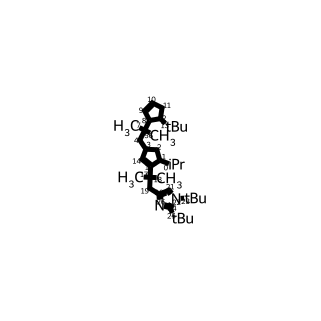 CC(C)C1CC(CC(C)(C)C2C=CCC2C(C)(C)C)C=C1C(C)(C)Cc1cn(C(C)(C)C)c(C(C)(C)C)n1